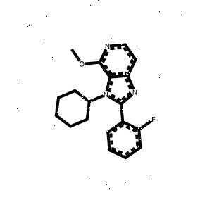 COc1nccc2nc(-c3ccccc3F)n(C3CCCCC3)c12